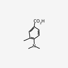 Cc1cc(C(=O)O)ccc1N(C)C